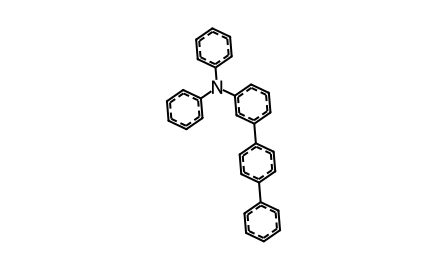 c1ccc(-c2ccc(-c3cccc(N(c4ccccc4)c4ccccc4)c3)cc2)cc1